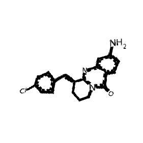 Nc1ccc2c(=O)n3c(nc2c1)C(=Cc1ccc(Cl)cc1)CCC3